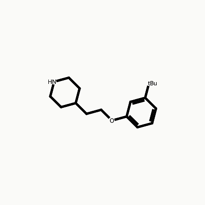 CC(C)(C)c1cccc(OCCC2CCNCC2)c1